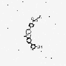 C=CCOC(=O)c1ccc(N2CCN(C(C)c3ccc(-c4cncc(O)c4)cc3F)CC2)cc1